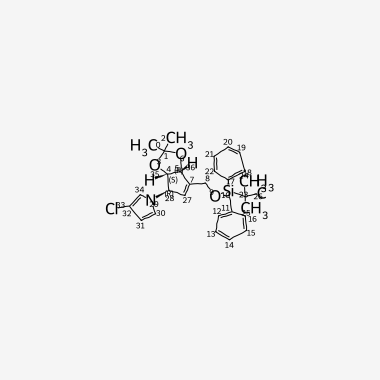 CC1(C)O[C@@H]2[C@H](O1)C(CO[Si](c1ccccc1)(c1ccccc1)C(C)(C)C)=C[C@H]2n1ccc(Cl)c1